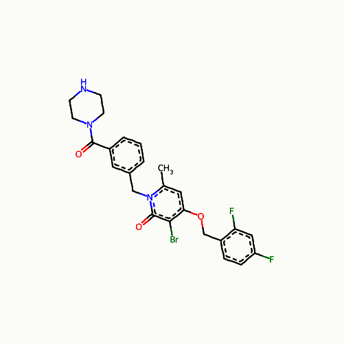 Cc1cc(OCc2ccc(F)cc2F)c(Br)c(=O)n1Cc1cccc(C(=O)N2CCNCC2)c1